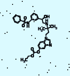 CCOC(=O)Oc1ccc2c(c1)ncn2CCC(C)(C)NC[C@H](O)c1cccc(NS(=O)(=O)c2ccccc2)c1